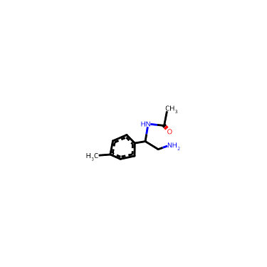 CC(=O)NC(CN)c1ccc(C)cc1